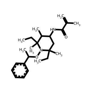 C=C(C)C(=O)NC1CC(C)(CC)N(OC(C)c2ccccc2)C(C)(CC)C1C